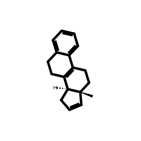 C[C@@]12C=CC[C@H]1C1=C(CC2)c2ccccc2CC1